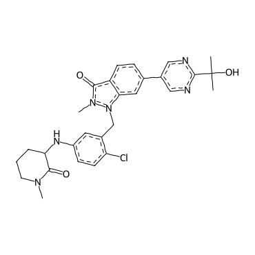 CN1CCCC(Nc2ccc(Cl)c(Cn3c4cc(-c5cnc(C(C)(C)O)nc5)ccc4c(=O)n3C)c2)C1=O